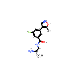 CCc1oncc1-c1cc(F)cc(C(=O)NC[C@@H](N)C(=O)O)c1